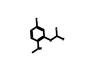 CNc1ccc(F)cc1OC(F)F